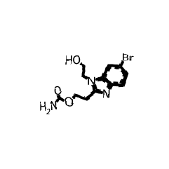 NC(=O)OCCc1nc2ccc(Br)cc2n1CCO